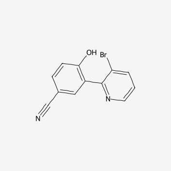 N#Cc1ccc(O)c(-c2ncccc2Br)c1